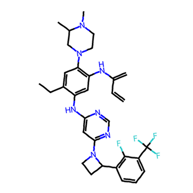 C=CC(=C)Nc1cc(Nc2cc(N3CCC3c3cccc(C(F)(F)F)c3F)ncn2)c(CC)cc1N1CCN(C)C(C)C1